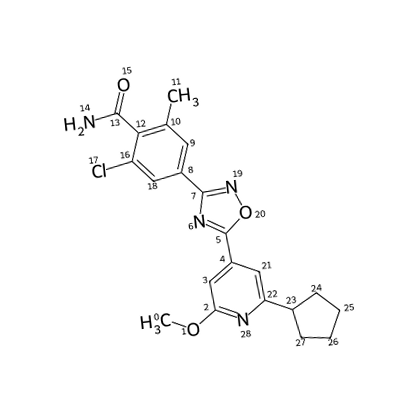 COc1cc(-c2nc(-c3cc(C)c(C(N)=O)c(Cl)c3)no2)cc(C2CCCC2)n1